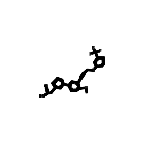 COc1ccc(-c2cccc(CC(=O)O)c2)cc1C#CCOc1cccc(C(F)(F)F)c1